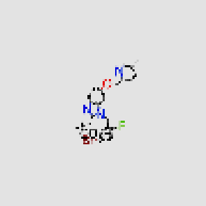 Cc1ccc(COc2ccc3nc(CC(C)(C)C(=O)O)n(Cc4cc(Br)ccc4F)c3c2)nc1